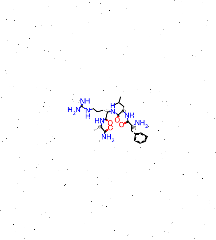 CC(C)C[C@H](NC(=O)[C@@H](N)Cc1ccccc1)C(=O)N[C@@H](CCCNC(=N)N)C(=O)N[C@@H](C)C(N)=O